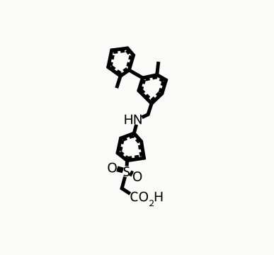 Cc1ccccc1-c1cc(CNc2ccc(S(=O)(=O)CC(=O)O)cc2)ccc1C